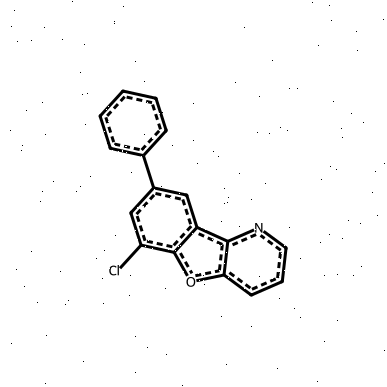 Clc1cc(-c2ccccc2)cc2c1oc1cccnc12